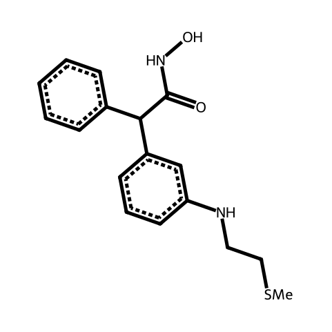 CSCCNc1cccc(C(C(=O)NO)c2ccccc2)c1